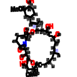 CO[C@H]1C[C@@H](C)[C@@]2(O)O[C@@H]1CC[C@@H](C)C/C(C)=C/C(C)C(=O)C[C@H](O)[C@@H](C)[C@@H](/C(C)=C/[C@@H]1CC[C@@H](O)[C@H](OC)C1)OC(=O)[C@@H]1CCCCN1C(=O)C2=O